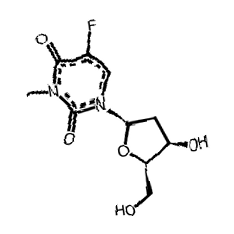 Cn1c(=O)c(F)cn([C@H]2C[C@@H](O)[C@@H](CO)O2)c1=O